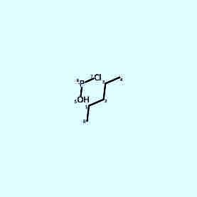 CCCCC.O[P]Cl